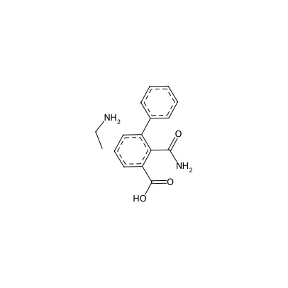 CCN.NC(=O)c1c(C(=O)O)cccc1-c1ccccc1